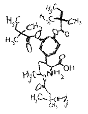 CCC(C)(C)C(=O)Oc1ccc(C(CC(C)OC(=O)CC(C)(C)C)[C@H](N)C(=O)O)cc1OC(=O)C(C)(C)CC